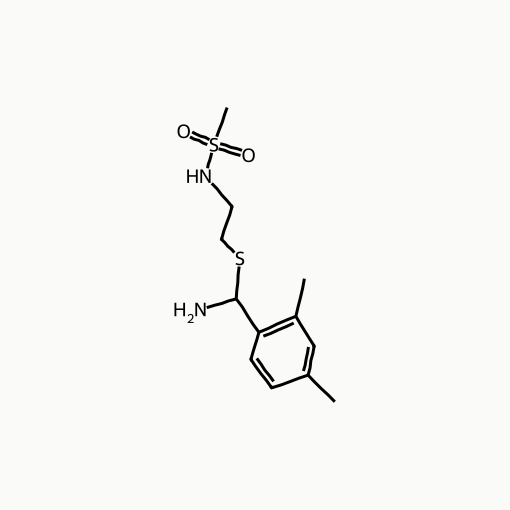 Cc1ccc(C(N)SCCNS(C)(=O)=O)c(C)c1